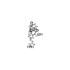 C[C@]12CC/C(=C/CC3CCNC3)CC1[C@@H](CO)C(=O)[C@@H]1[C@@H]2CC[C@]2(C)C(=O)CC[C@@H]12